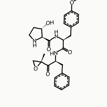 COc1ccc(C[C@H](NC(=O)[C@H]2NCC[C@@H]2O)C(=O)N[C@@H](Cc2ccccc2)C(=O)[C@@]2(C)CO2)cc1